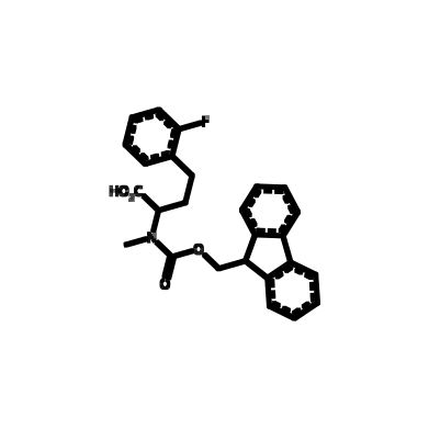 CN(C(=O)OCC1c2ccccc2-c2ccccc21)C(CCc1ccccc1F)C(=O)O